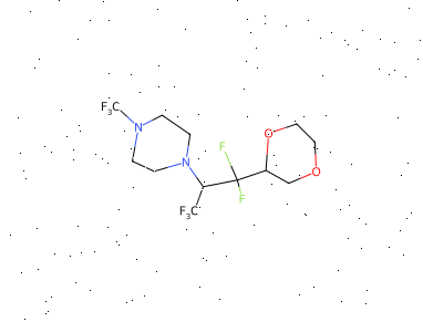 FC(F)(F)C(N1CCN(C(F)(F)F)CC1)C(F)(F)C1COCCO1